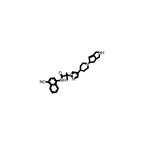 CC(C)(C(=O)Nc1ccc(C#N)c2ccccc12)n1cc(C2CCN(C3C=C4CNCC4C3)CC2)cn1